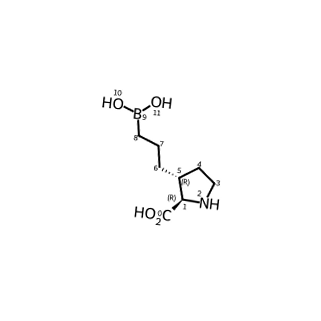 O=C(O)[C@@H]1NCC[C@H]1CCCB(O)O